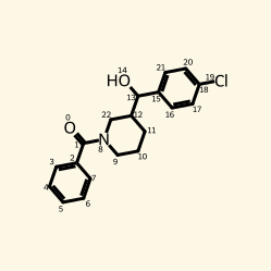 O=C(c1ccccc1)N1CCCC(C(O)c2ccc(Cl)cc2)C1